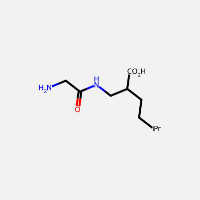 CC(C)CCC(CNC(=O)CN)C(=O)O